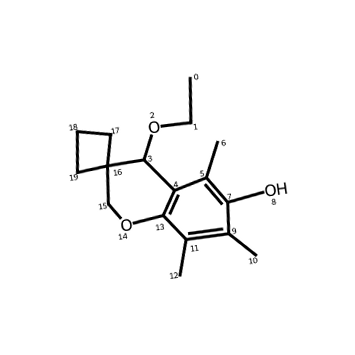 CCOC1c2c(C)c(O)c(C)c(C)c2OCC12CCC2